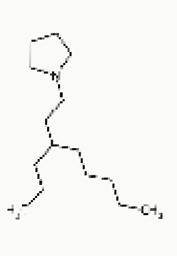 CCCCCC(CCC)CCN1CCCC1